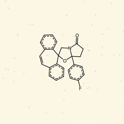 O=C1CCC2(c3ccc(F)cc3)OC3(CN12)c1ccccc1C=Cc1ccccc13